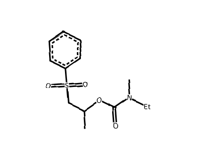 CCN(C)C(=O)OC(C)CS(=O)(=O)c1ccccc1